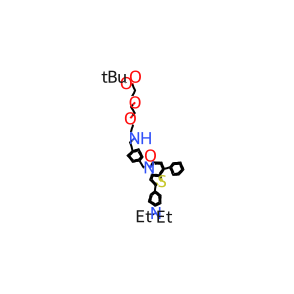 CCN(CC)c1ccc(-c2cc3c(s2)c(-c2ccccc2)cc(=O)n3Cc2ccc(CNCCOCCOCCC(=O)OC(C)(C)C)cc2)cc1